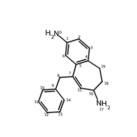 Nc1ccc2c(c1)C(Cc1ccccc1)=CC(N)CC2